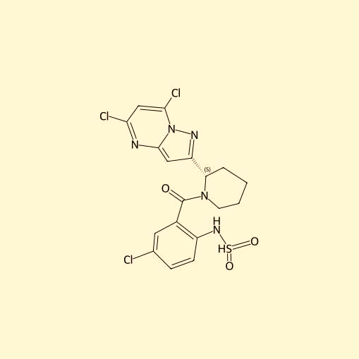 O=C(c1cc(Cl)ccc1N[SH](=O)=O)N1CCCC[C@H]1c1cc2nc(Cl)cc(Cl)n2n1